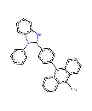 Cc1c2ccccc2c(-c2ccc(C3Nc4ccccc4N3c3ccccc3)cc2)c2ccccc12